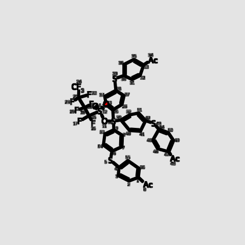 CC(=O)c1ccc(Sc2ccc(S(OS(=O)(=O)C(F)(F)C(F)(F)C(F)(F)C(F)(F)F)(c3ccc(Sc4ccc(C(C)=O)cc4)cc3)c3ccc(Sc4ccc(C(C)=O)cc4)cc3)cc2)cc1